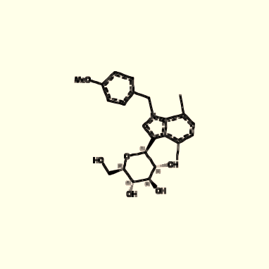 COc1ccc(Cn2cc([C@@H]3O[C@H](CO)[C@@H](O)[C@H](O)[C@H]3O)c3c(C)ccc(C)c32)cc1